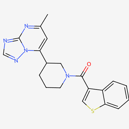 Cc1cc(C2CCCN(C(=O)c3csc4ccccc34)C2)n2ncnc2n1